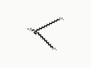 CCCCCCCCCCCCCCCCCCCc1n(CCC)cc[n+]1CCCCCCCCCCCCCCCC